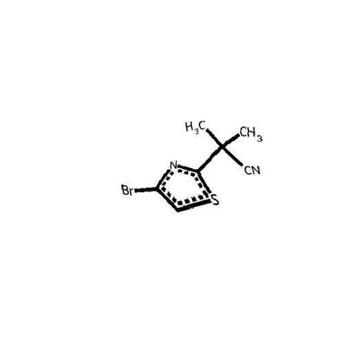 CC(C)(C#N)c1nc(Br)cs1